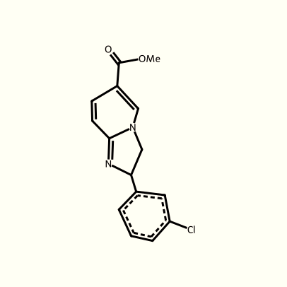 COC(=O)C1=CN2CC(c3cccc(Cl)c3)N=C2C=C1